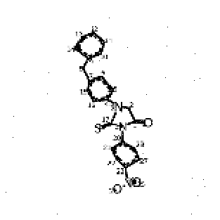 O=C1CN(c2ccc(Cc3ccccc3)cc2)C(=S)N1c1ccc([N+](=O)[O-])cc1